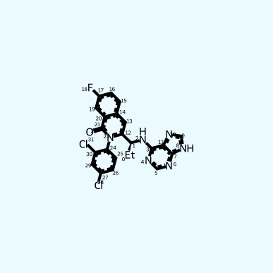 CC[C@H](Nc1ncnc2[nH]cnc12)c1cc2ccc(F)cc2c(=O)n1-c1ccc(Cl)cc1Cl